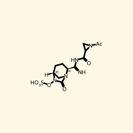 CC(=O)N1CC1C(=O)NC(=N)[C@@H]1CC[C@@H]2CN1C(=O)N2OS(=O)(=O)O